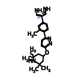 Cc1cc(/C(C=N)=C/N)ccc1-c1ccc(OC2CC(C)(C)NC(C)(C)C2)nn1